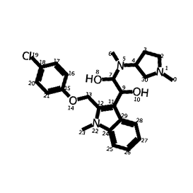 CN1CCC(N(C)C(O)C(O)c2c(COc3ccc(Cl)cc3)n(C)c3ccccc23)C1